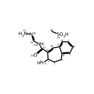 CCCC1CCc2ccccc2C=C1C(=O)NC=NN.CS(=O)(=O)O